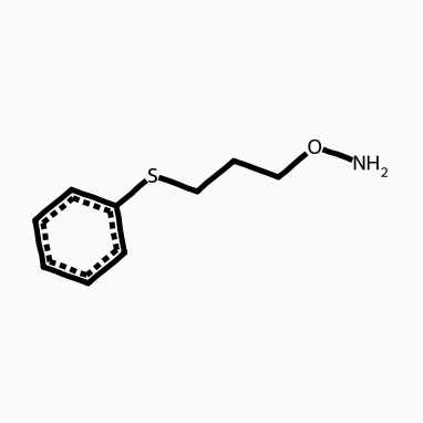 NOCCCSc1ccccc1